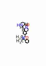 C[C@H](c1ccccc1)N(C)C(=O)c1ccc2c(c1)CCN1C(=O)[C@@H]3CCCN[C@@H]3C[C@@H]21